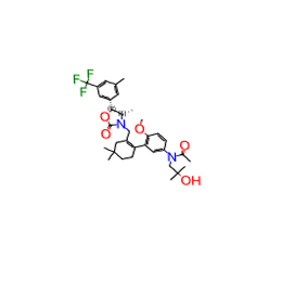 COc1ccc(N(CC(C)(C)O)C(C)=O)cc1C1=C(CN2C(=O)O[C@H](c3cc(C)cc(C(F)(F)F)c3)[C@@H]2C)CC(C)(C)CC1